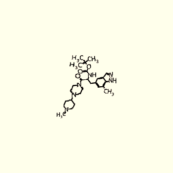 Cc1cc(CC(NC(=O)OC(C)(C)C)C(=O)N2CCN(C3CCN(C)CC3)CC2)cc2cn[nH]c12